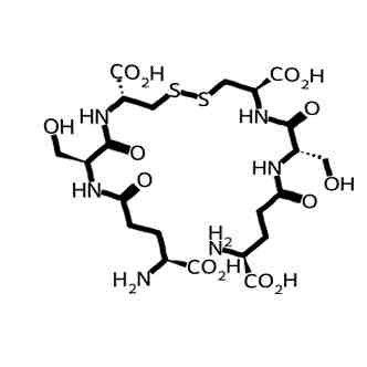 N[C@@H](CCC(=O)N[C@@H](CO)C(=O)N[C@@H](CSSC[C@H](NC(=O)[C@H](CO)NC(=O)CC[C@H](N)C(=O)O)C(=O)O)C(=O)O)C(=O)O